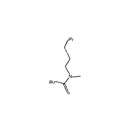 C=C(C(C)CC)N(C)CCCC(C)C